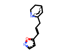 C(=Cc1ccno1)CC1CC2CCCN1CC2